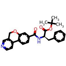 CC(C)(C)OC(=O)[C@@H](Cc1ccccc1)NC(=O)c1ccc2c(c1)OCc1cnccc1-2